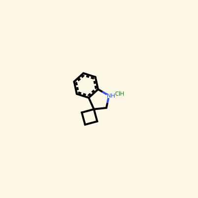 Cl.c1ccc2c(c1)NCC21CCC1